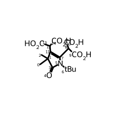 CC1(C)C(=O)N(C(C)(C)C)C(C(C(=O)O)C(=O)O)=C1C(C(=O)O)C(=O)O